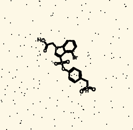 O=C(O)Cn1cc(S(=O)(=O)Oc2ccc(C[SH](=O)=O)cc2)c2c(Br)cccc21